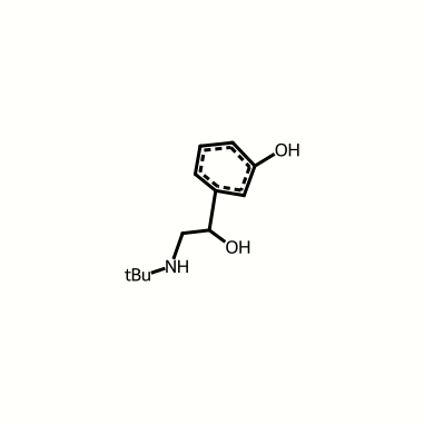 CC(C)(C)NCC(O)c1cccc(O)c1